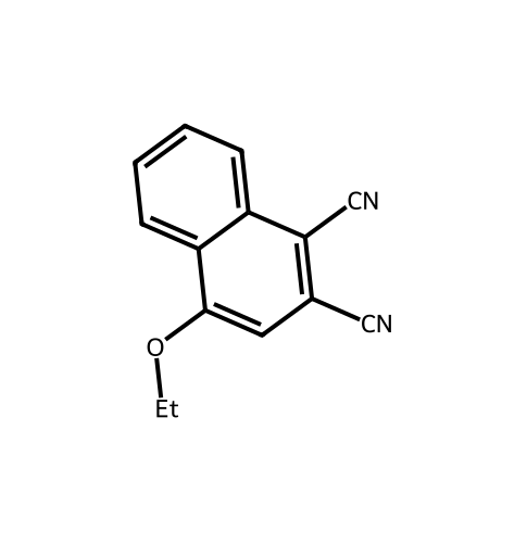 CCOc1cc(C#N)c(C#N)c2ccccc12